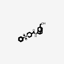 O=C(NC1C2CC3CC1CC(CO)(C3)C2)C1CCN(S(=O)(=O)c2ccccc2)CC1